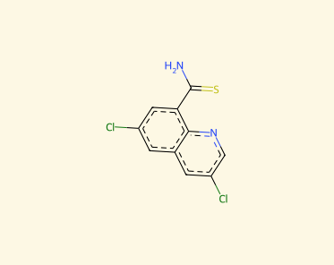 NC(=S)c1cc(Cl)cc2cc(Cl)cnc12